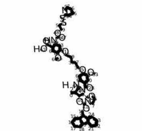 C=C1C[C@@H](C2OCCN2C(=O)OCC2c3ccccc3-c3ccccc32)N(C(=O)c2cc(OC)c(OCCCCCOc3cc(NC(=O)OCCSSc4ccccn4)c(C(=O)O)cc3OC)cc2N)C1